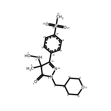 CC1(NO)C(=O)N(CC2CCOCC2)N=C1c1ccc(S(C)(=O)=O)cc1